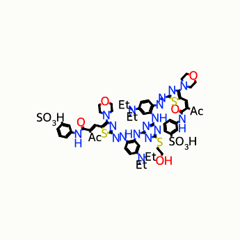 CCN(CC)c1ccc(/N=N/c2nc(N3CCOCC3)c(/C=C(/C(C)=O)C(=O)Nc3cccc(S(=O)(=O)O)c3)s2)c(Nc2nc(Nc3cc(N(CC)CC)ccc3/N=N/c3nc(N4CCOCC4)c(/C=C(\C(C)=O)C(=O)Nc4cccc(S(=O)(=O)O)c4)s3)nc(SCCO)n2)c1